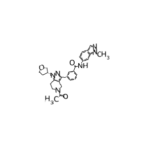 CC(=O)N1CCc2c(c(-c3cccc(C(=O)Nc4ccc5cnn(C)c5c4)c3)nn2C2CCOC2)C1